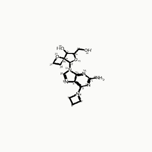 Nc1nc(N2CCC2)c2ncn(C3OC(CO)C(O)[C@]34CCO4)c2n1